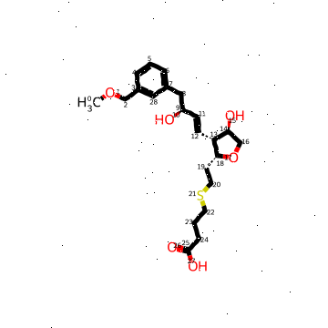 COCc1cccc(C[C@H](O)/C=C/[C@@H]2[C@@H](O)CO[C@@H]2CCSCCCC(=O)O)c1